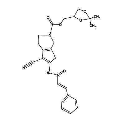 CC1(C)OCC(COC(=O)N2CCc3c(sc(NC(=O)C=Cc4ccccc4)c3C#N)C2)O1